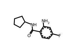 Nc1cc(F)ccc1C(=O)NC1CCCC1